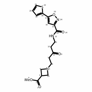 COC(=O)C1CN(CCC(=O)CCNC(=O)c2cc(-c3cccs3)on2)C1